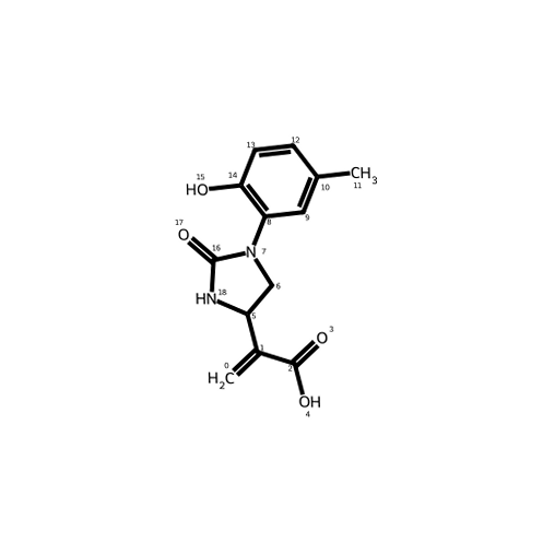 C=C(C(=O)O)C1CN(c2cc(C)ccc2O)C(=O)N1